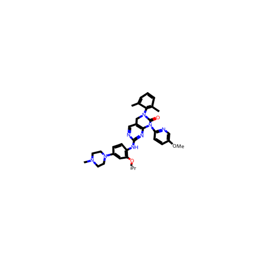 COc1ccc(N2C(=O)N(c3c(C)cccc3C)Cc3cnc(Nc4ccc(N5CCN(C)CC5)cc4OC(C)C)nc32)nc1